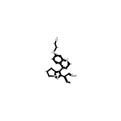 CC=C(C=[AsH])c1nn2c(c1-c1ccnc3cc(OCCCl)ccc13)CCC2